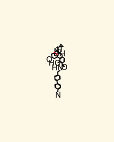 N#Cc1ccc(-c2ccc(CCNC(=O)c3ccc4c(c3O)[C@]35CCN(CC6CC6)[C@H](C4)[C@]3(O)CCC(=O)C5)cc2)cc1